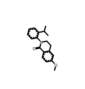 COc1ccc2c(c1)CCN(c1ccccc1C(C)C)C2=O